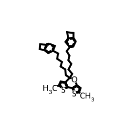 Cc1cc2c(s1)-c1sc(C)cc1C(CCCCCCc1ccc3c(c1)CC3)(CCCCCCc1ccc3c(c1)CC3)O2